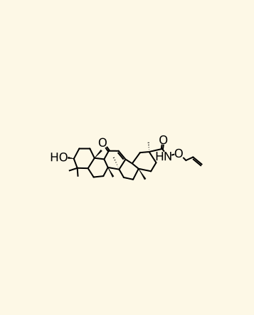 C=CCONC(=O)[C@@]1(C)CC[C@]2(C)CC[C@]3(C)C(=CC(=O)C4[C@@]5(C)CC[C@H](O)C(C)(C)C5CC[C@]43C)C2C1